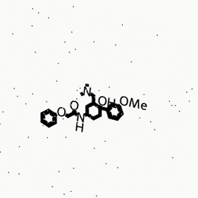 COc1cccc(C2(O)CCC(NC(=O)COc3ccccc3)CC2CN(C)C)c1